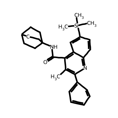 Cc1c(-c2ccccc2)nc2ccc([Si](C)(C)C)cc2c1C(=O)NC12CCC(CC1)CC2